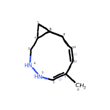 CC1=C/NNCC2CC2C/C=C\1